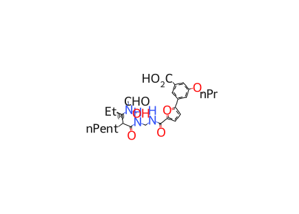 CCCCCC(C(=O)NCNC(=O)c1ccc(-c2cc(OCCC)cc(C(=O)O)c2)o1)[C@@H](CC)N(O)C=O